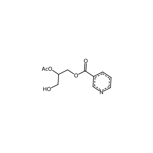 CC(=O)OC(CO)COC(=O)c1cccnc1